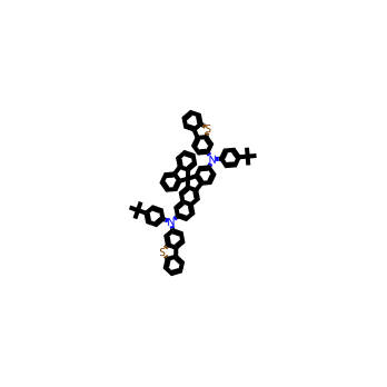 CC(C)(C)c1ccc(N(c2ccc3c(c2)C2(c4ccccc4-c4ccccc42)c2cc4cc(N(c5ccc(C(C)(C)C)cc5)c5ccc6c(c5)sc5ccccc56)ccc4cc2-3)c2ccc3c(c2)sc2ccccc23)cc1